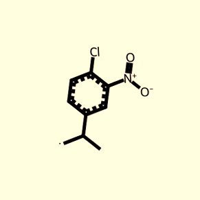 [CH2]C(C)c1ccc(Cl)c([N+](=O)[O-])c1